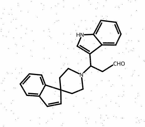 O=CCC(c1c[nH]c2ccccc12)N1CCC2(C=Cc3ccccc32)CC1